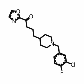 O=C(CCCC1CCN(Cc2ccc(F)c(Cl)c2)CC1)c1ncco1